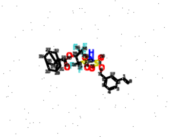 C=Cc1cccc(COS(=O)(=O)NS(=O)(=O)C(F)(F)C(OC(=O)C23CC4CC(CC(C4)C2)C3)C(F)(F)F)c1